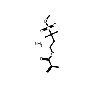 C=C(C)C(=O)OCCC(C)(C)S(=O)(=O)OC.N